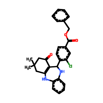 CC1(C)CC(=O)C2=C(C1)Nc1ccccc1NC2c1ccc(C(=O)OCc2ccccc2)cc1Cl